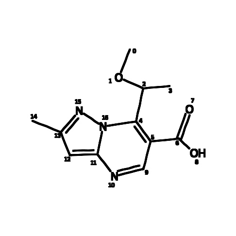 COC(C)c1c(C(=O)O)cnc2cc(C)nn12